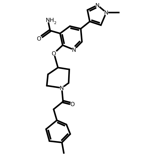 Cc1ccc(CC(=O)N2CCC(Oc3ncc(-c4cnn(C)c4)cc3C(N)=O)CC2)cc1